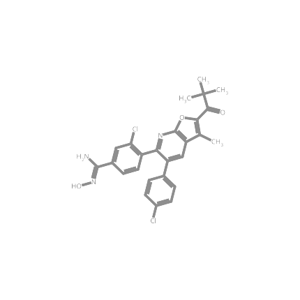 Cc1c(C(=O)C(C)(C)C)oc2nc(-c3ccc(/C(N)=N/O)cc3Cl)c(-c3ccc(Cl)cc3)cc12